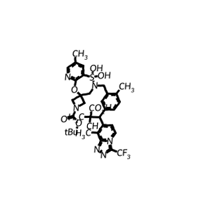 Cc1cnc2c(c1)S(O)(O)N(Cc1cc(C(c3ccn4c(C(F)(F)F)nnc4c3C)C(C)(C)C(=O)O)ccc1C)CC1(CN(C(=O)OC(C)(C)C)C1)O2